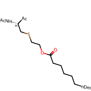 CCCCCCCCCCCCCCCC(=O)OCCSC[C@H](NC(C)=O)C(C)=O